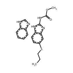 CCCSc1ccc2[nH]c(NC(=O)OC)nc2c1.c1ccc2[nH]cnc2c1